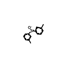 Cc1cccc([S+]([O-])c2cccc(C)c2)c1